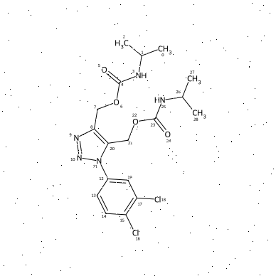 CC(C)NC(=O)OCc1nnn(-c2ccc(Cl)c(Cl)c2)c1COC(=O)NC(C)C